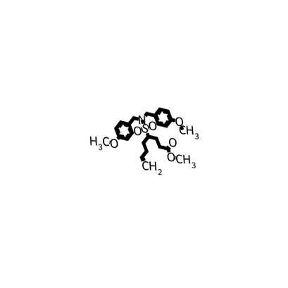 C=CCCC(CCC(=O)OC)S(=O)(=O)N(Cc1ccc(OC)cc1)Cc1ccc(OC)cc1